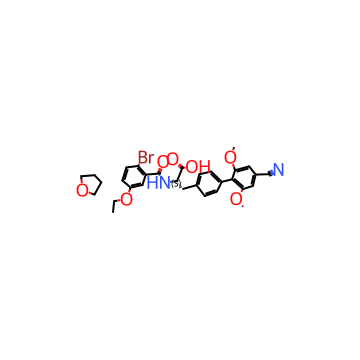 C1CCOC1.CCOc1ccc(Br)c(C(=O)N[C@@H](Cc2ccc(-c3c(OC)cc(C#N)cc3OC)cc2)C(=O)O)c1